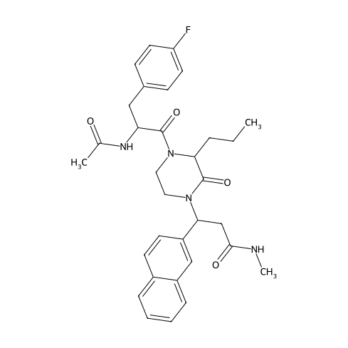 CCCC1C(=O)N(C(CC(=O)NC)c2ccc3ccccc3c2)CCN1C(=O)C(Cc1ccc(F)cc1)NC(C)=O